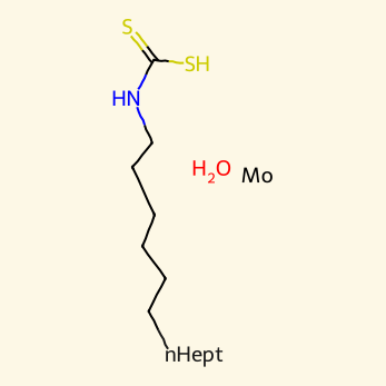 CCCCCCCCCCCCCNC(=S)S.O.[Mo]